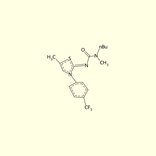 CCCCN(C)C(=O)N=c1sc(C)cn1-c1ccc(C(F)(F)F)cc1